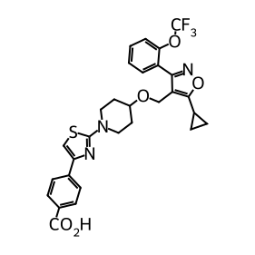 O=C(O)c1ccc(-c2csc(N3CCC(OCc4c(-c5ccccc5OC(F)(F)F)noc4C4CC4)CC3)n2)cc1